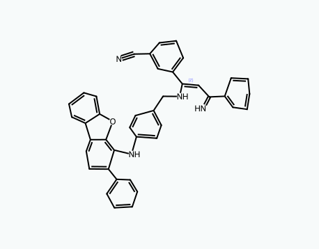 N#Cc1cccc(/C(=C/C(=N)c2ccccc2)NCc2ccc(Nc3c(-c4ccccc4)ccc4c3oc3ccccc34)cc2)c1